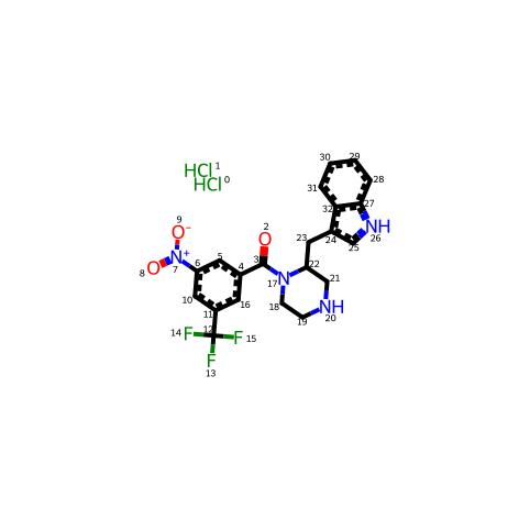 Cl.Cl.O=C(c1cc([N+](=O)[O-])cc(C(F)(F)F)c1)N1CCNCC1Cc1c[nH]c2ccccc12